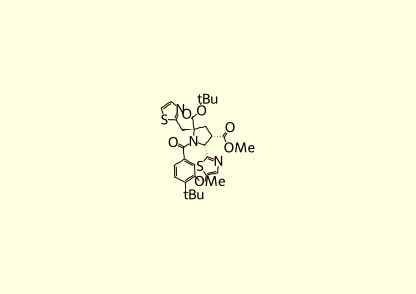 COC(=O)[C@H]1C[C@@](Cc2nccs2)(C(=O)OC(C)(C)C)N(C(=O)c2ccc(C(C)(C)C)c(OC)c2)[C@H]1c1ncc(C)s1